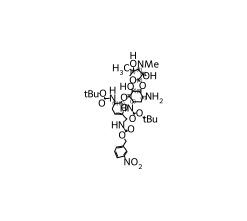 CN[C@@H]1[C@@H](O)[C@@H](O[C@@H]2[C@@H](O)[C@H](O[C@H]3OC(CNC(=O)OCc4cccc([N+](=O)[O-])c4)=CC[C@H]3NC(=O)OC(C)(C)C)[C@@H](NC(=O)OC(C)(C)C)C[C@H]2N)OC[C@]1(C)O